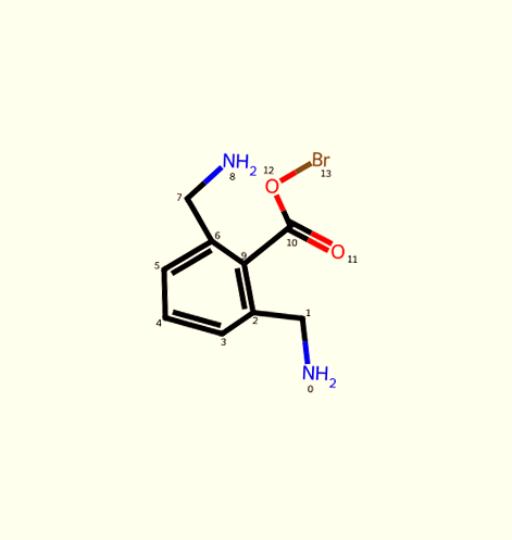 NCc1cccc(CN)c1C(=O)OBr